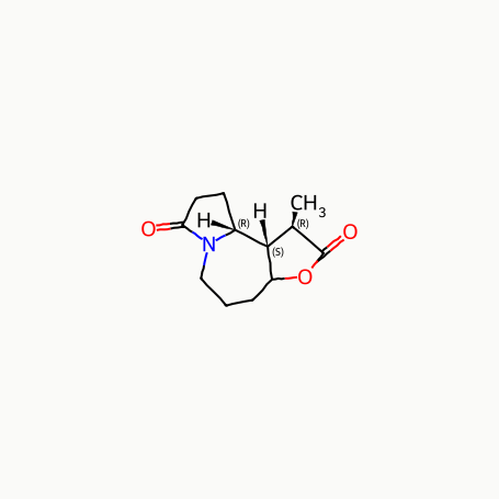 C[C@H]1C(=O)OC2CCCN3C(=O)CC[C@@H]3[C@@H]21